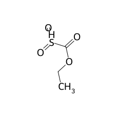 CCOC(=O)[SH](=O)=O